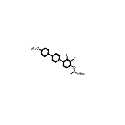 CCCCCC[C@@H](C)Oc1ccc(-c2ccc(-c3ccc(OC)cc3)cc2)c(F)c1F